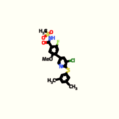 COc1cc(C(=O)NS(C)(=O)=O)c(F)cc1-c1cnc(Sc2cc(C)cc(C)c2)c(Cl)c1